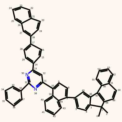 CC1(C)c2ccc(-c3ccc(-c4cc(-c5ccc(-c6ccc7ccccc7c6)cc5)nc(-c5ccccc5)n4)c4ccccc34)cc2-c2c1ccc1ccccc21